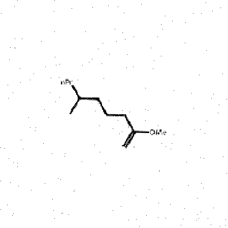 [CH2]CCC(C)CCCC(=C)OC